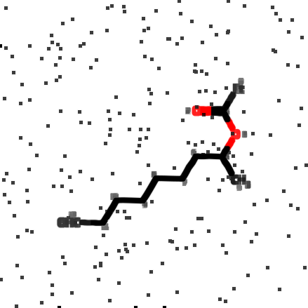 CCC(=O)OC(C)CCCCCCC=O